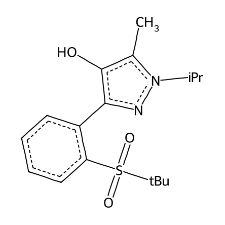 Cc1c(O)c(-c2ccccc2S(=O)(=O)C(C)(C)C)nn1C(C)C